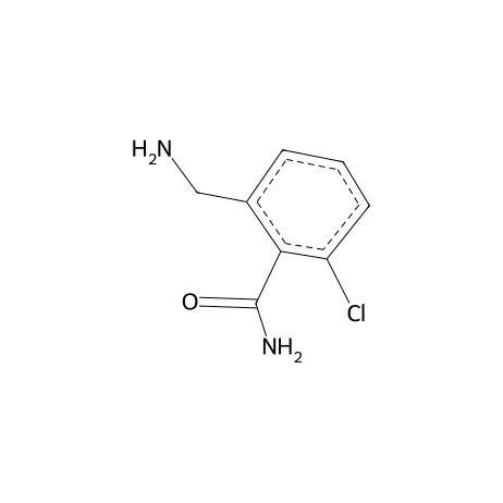 NCc1cccc(Cl)c1C(N)=O